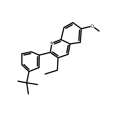 CCc1cc2cc(OC)ccc2nc1-c1cccc(C(C)(C)C)c1